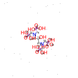 O=P(O)(O)CN(CC(O)CN(CP(=O)(O)O)CP(=O)(O)O)CP(=O)(O)O